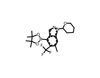 Cc1cc2c(cnn2C2CCCCO2)c(B2OC(C)(C)C(C)(C)O2)c1C(F)(F)F